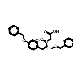 CN(CC(=O)O)[C@H](COCc1ccccc1)Cc1ccc(OCc2ccccc2)cc1